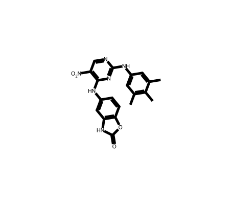 Cc1cc(Nc2ncc([N+](=O)[O-])c(Nc3ccc4oc(=O)[nH]c4c3)n2)cc(C)c1C